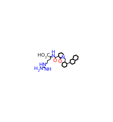 N=C(N)NCCC[C@H](NC(=O)c1cccn(Cc2ccccc2-c2ccc3ccccc3c2)c1=O)C(=O)O